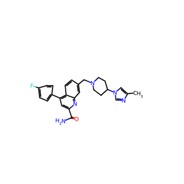 Cc1cn(C2CCN(Cc3ccc4c(-c5ccc(F)cc5)cc(C(N)=O)nc4c3)CC2)cn1